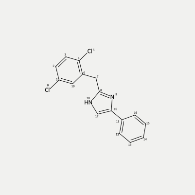 Clc1ccc(Cl)c(Cc2nc(-c3ccccc3)c[nH]2)c1